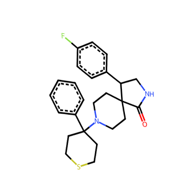 O=C1NCC(c2ccc(F)cc2)C12CCN(C1(c3ccccc3)CCSCC1)CC2